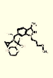 COCCCN1NC(C)c2ccc([C@@H](C)N(C3CC3)C(C)(O)[C@H]3CNCCO3)cc21